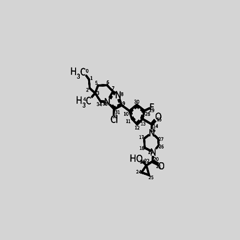 CCCC1(C)CCc2nc(-c3ccc(C(=O)N4CCN(C(=O)C5(O)CC5)CC4)c(F)c3)c(Cl)n2C1